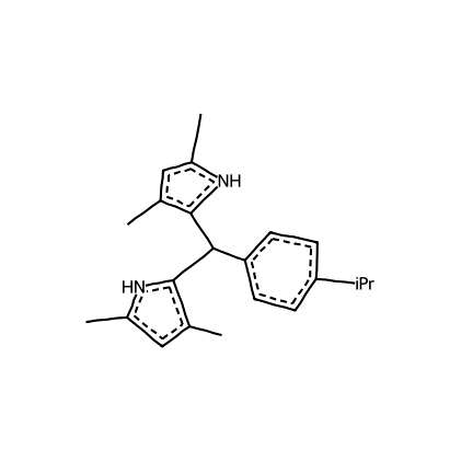 Cc1cc(C)c(C(c2ccc(C(C)C)cc2)c2[nH]c(C)cc2C)[nH]1